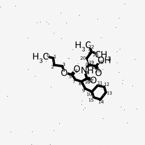 CCCCOC(=O)CC(CC1CCCCC1)C(=O)N[C@@H](CC(C)C)C(=O)O